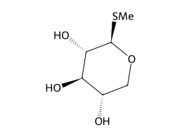 CS[C@H]1OC[C@H](O)[C@@H](O)[C@@H]1O